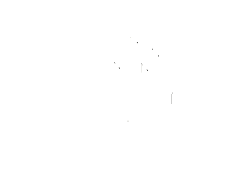 Cc1nc2ncnn2c(O)c1Sc1ccc(F)cc1